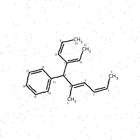 C/C=C\C=C(/C)C(C(/C=C\C)=C/C)c1ccccc1